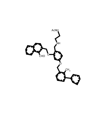 CC(=O)NCCNCc1ccc(OCc2cccc(-c3ccccc3)c2C)cc1OCc1ccc2ccccc2c1C=O